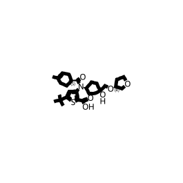 CC1=CC[C@@H](C(=O)N(c2cc(C(C)(C)C)sc2C(=O)O)[C@H]2CC[C@](O)(CO[C@@H]3CCOC3)CC2)CC1